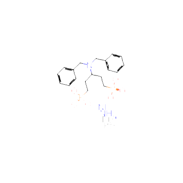 N.N.O=P([O-])([O-])CCC(CCP(=O)([O-])[O-])N(Cc1ccccc1)Cc1ccccc1.[Pt+2].[Pt+2]